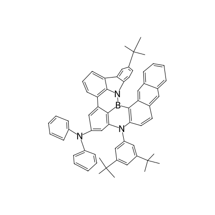 CC(C)(C)c1cc(N2c3cc(N(c4ccccc4)c4ccccc4)cc4c3B(c3c2ccc2cc5ccccc5cc32)n2c3ccc(C(C)(C)C)cc3c3cccc-4c32)cc(C(C)(C)C)c1